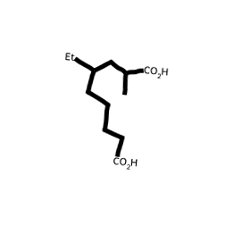 CCC(CCCCC(=O)O)CC(C)C(=O)O